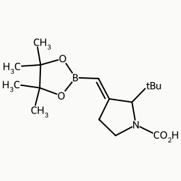 CC(C)(C)C1C(=CB2OC(C)(C)C(C)(C)O2)CCN1C(=O)O